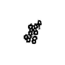 c1ccc(C2(c3ccc4c(c3)sc3ccccc34)c3ccccc3-c3ccc(N(c4cccc5ccccc45)c4cccc5ccccc45)cc32)cc1